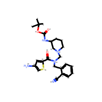 CC(C)(C)OC(=O)NC1CCCN(CN(Cc2ccccc2C#N)C(=O)c2cc(N)cs2)C1